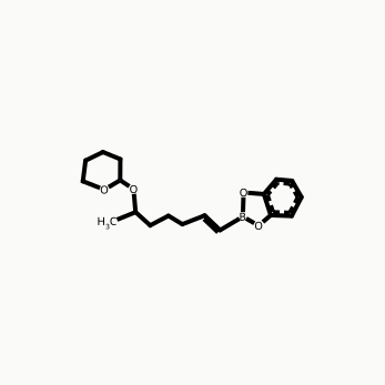 CC(CCC/C=C/B1Oc2ccccc2O1)OC1CCCCO1